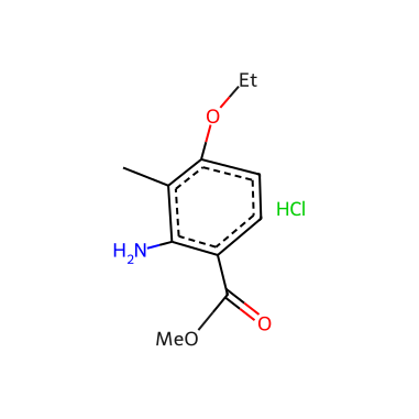 CCOc1ccc(C(=O)OC)c(N)c1C.Cl